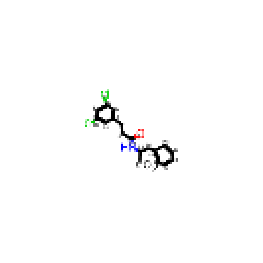 O=C(CCc1cc(Cl)cc(Cl)c1)NC(Cc1ccccc1)C(=O)O